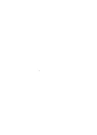 CCCCOC1CCN(C)CC1